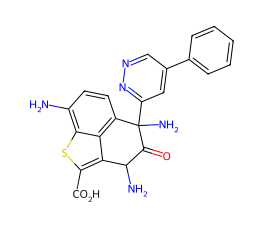 Nc1ccc2c3c(c(C(=O)O)sc13)C(N)C(=O)C2(N)c1cc(-c2ccccc2)cnn1